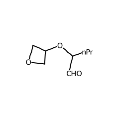 CCCC(C=O)OC1COC1